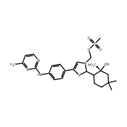 CC1(C)CCC(C2SC(c3ccc(Nc4nccc(C(F)(F)F)n4)cc3)=CN2COS(C)(=O)=O)[C@@](O)(C(=O)O)C1